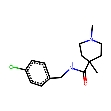 CN1CCC(C)(C(=O)NCc2ccc(Cl)cc2)CC1